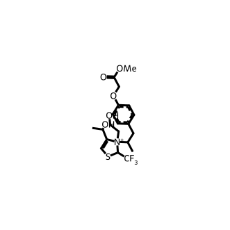 COC(=O)COc1ccc(CC(C)[N+]2(CCO)C(C(C)O)=CSC2C(F)(F)F)cc1